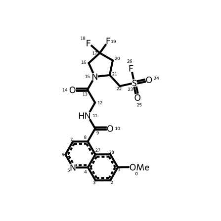 COc1ccc2nccc(C(=O)NCC(=O)N3CC(F)(F)CC3CS(=O)(=O)F)c2c1